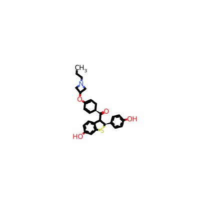 CCCN1CC(OC2=CC[C@@H](C(=O)C3c4ccc(O)cc4S[C@@H]3c3ccc(O)cc3)C=C2)C1